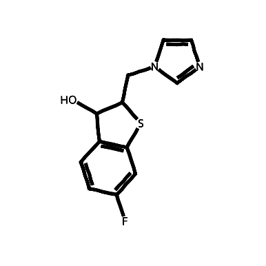 OC1c2ccc(F)cc2SC1Cn1ccnc1